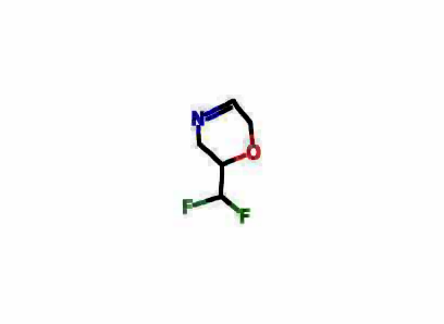 FC(F)C1CN=CCO1